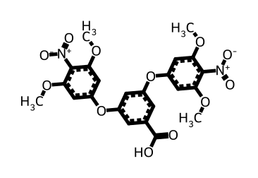 COc1cc(Oc2cc(Oc3cc(OC)c([N+](=O)[O-])c(OC)c3)cc(C(=O)O)c2)cc(OC)c1[N+](=O)[O-]